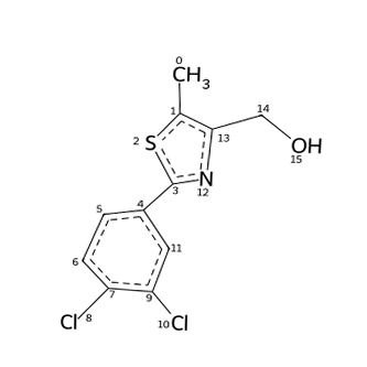 Cc1sc(-c2ccc(Cl)c(Cl)c2)nc1CO